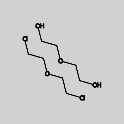 ClCCOCCCl.OCCOCCO